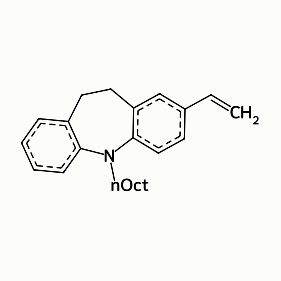 C=Cc1ccc2c(c1)CCc1ccccc1N2CCCCCCCC